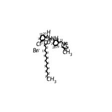 CCCCCCCCCCCCCCOc1c(Cl)cccc1NC(=O)Nc1cccc(C[n+]2csc(C)c2)c1.[Br-]